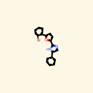 Brc1ccccc1-c1ccc(-c2ncc(-c3ccccc3)[nH]2)o1